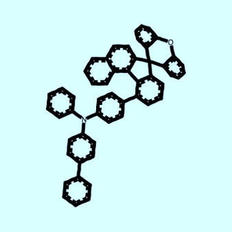 c1ccc(-c2ccc(N(c3ccccc3)c3ccc(-c4cccc5c4-c4c(ccc6ccccc46)C54c5ccccc5Oc5ccccc54)cc3)cc2)cc1